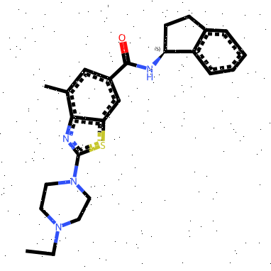 CCN1CCN(c2nc3c(C)cc(C(=O)N[C@H]4CCc5ccccc54)cc3s2)CC1